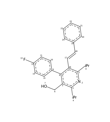 CC(C)c1nc(C(C)C)c(CO)c(-c2ccc(F)cc2)c1C=Cc1ccccc1